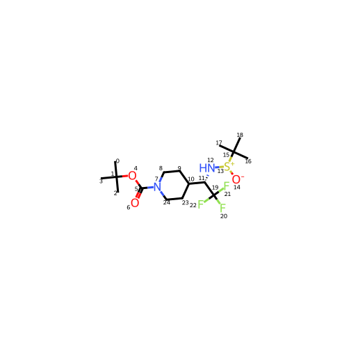 CC(C)(C)OC(=O)N1CCC([C@H](N[S+]([O-])C(C)(C)C)C(F)(F)F)CC1